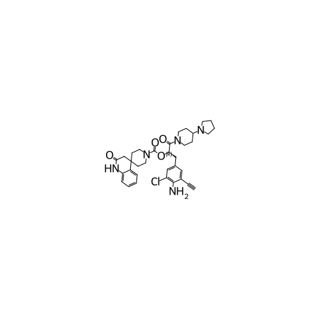 C#Cc1cc(C[C@@H](OC(=O)N2CCC3(CC2)CC(=O)Nc2ccccc23)C(=O)N2CCC(N3CCCC3)CC2)cc(Cl)c1N